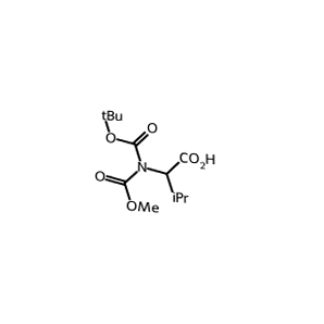 COC(=O)N(C(=O)OC(C)(C)C)C(C(=O)O)C(C)C